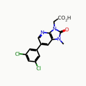 Cn1c(=O)n(CC(=O)O)c2ncc(-c3cc(Cl)cc(Cl)c3)cc21